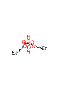 CCC=CCCOC(=O)C(O)C(O)C(=O)OCCC=CCC